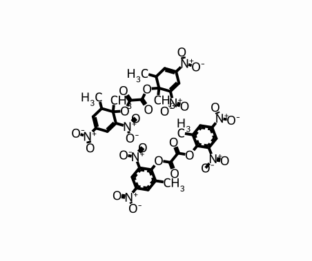 CC1C=C([N+](=O)[O-])C=C([N+](=O)[O-])C1(C)OC(=O)C(=O)OC1(C)C([N+](=O)[O-])=CC([N+](=O)[O-])=CC1C.Cc1cc([N+](=O)[O-])cc([N+](=O)[O-])c1OC(=O)C(=O)Oc1c(C)cc([N+](=O)[O-])cc1[N+](=O)[O-]